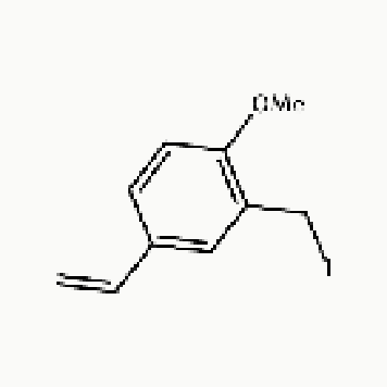 C=Cc1ccc(OC)c(CI)c1